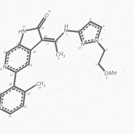 COCCn1ccc(N/C(C)=C2\C(=O)Nc3cnc(-c4cnccc4C)cc32)n1